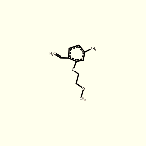 C=Cc1ccc(P)cc1OCCOC